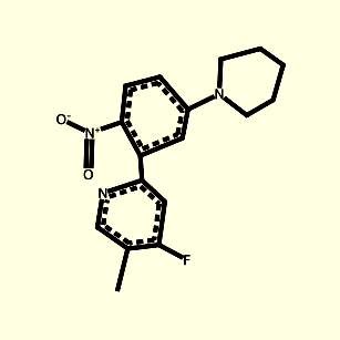 Cc1cnc(-c2cc(N3CCCCC3)ccc2[N+](=O)[O-])cc1F